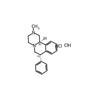 CN1CCN2C[C@@H](c3ccccc3)c3ccccc3[C@@H]2C1.Cl.Cl